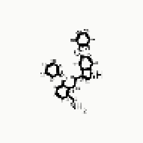 NCc1cccc(Oc2ccccc2)c1CCc1c[nH]c2ccc(Oc3ccccc3)cc12